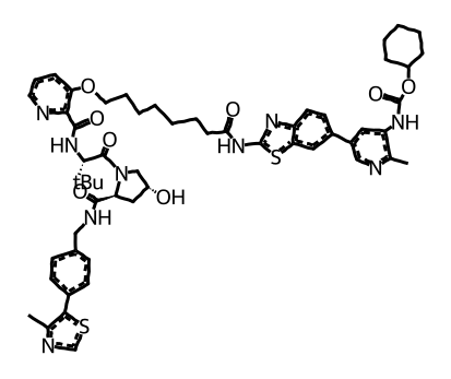 Cc1ncc(-c2ccc3nc(NC(=O)CCCCCCCOc4cccnc4C(=O)N[C@H](C(=O)N4C[C@H](O)C[C@H]4C(=O)NCc4ccc(-c5scnc5C)cc4)C(C)(C)C)sc3c2)cc1NC(=O)OC1CCCCC1